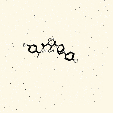 C=C(N[C@@H](C)c1ccc(Br)cc1)C(O)C(O)C(=C)N1CC2CC1CN2c1ccc(Cl)cc1